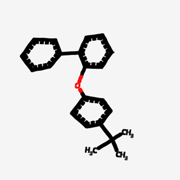 CC(C)(C)c1ccc(Oc2c[c]ccc2-c2ccccc2)cc1